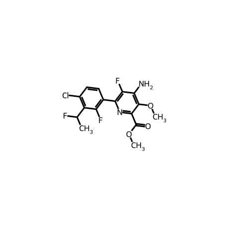 COC(=O)c1nc(-c2ccc(Cl)c(C(C)F)c2F)c(F)c(N)c1OC